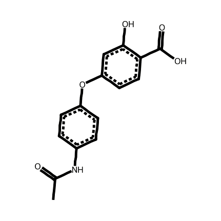 CC(=O)Nc1ccc(Oc2ccc(C(=O)O)c(O)c2)cc1